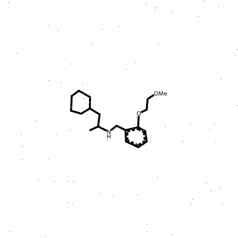 COCCOc1ccccc1CNC(C)CC1CCCCC1